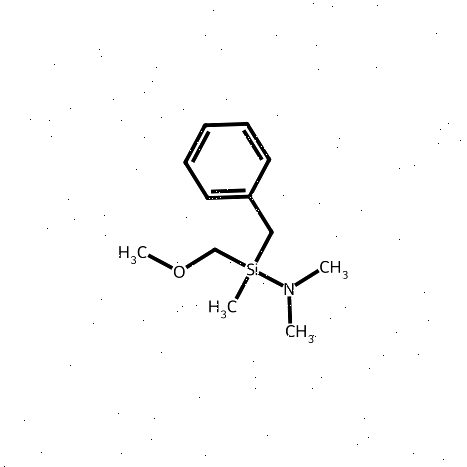 COC[Si](C)(Cc1ccccc1)N(C)C